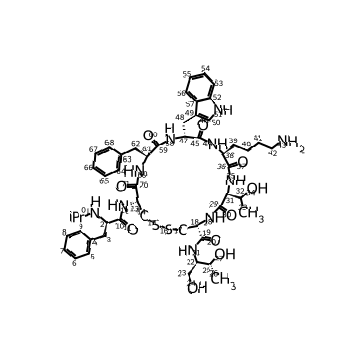 CC(C)N[C@H](Cc1ccccc1)C(=O)N[C@H]1CSSC[C@@H](C(=O)N[C@H](CO)[C@@H](C)O)NC(=O)[C@H](C(C)O)NC(=O)[C@H](CCCCN)NC(=O)[C@@H](Cc2c[nH]c3ccccc23)NC(=O)[C@H](Cc2ccccc2)NC1=O